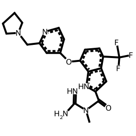 CN(C(=N)N)C(=O)c1cc2c(C(F)(F)F)ccc(Oc3ccnc(CN4CCCC4)c3)c2[nH]1